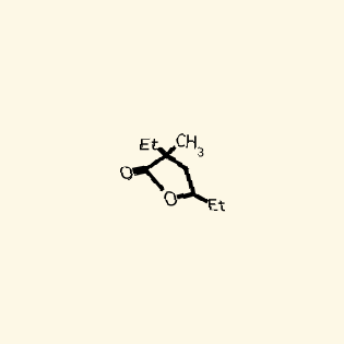 CCC1CC(C)(CC)C(=O)O1